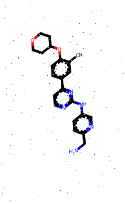 N#Cc1cc(-c2ccnc(Nc3ccc(CN)nc3)n2)ccc1OC1CCOCC1